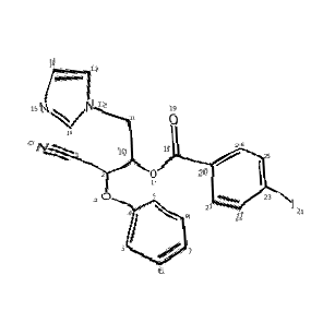 N#CC(Oc1ccccc1)C(Cn1ccnc1)OC(=O)c1ccc(I)cc1